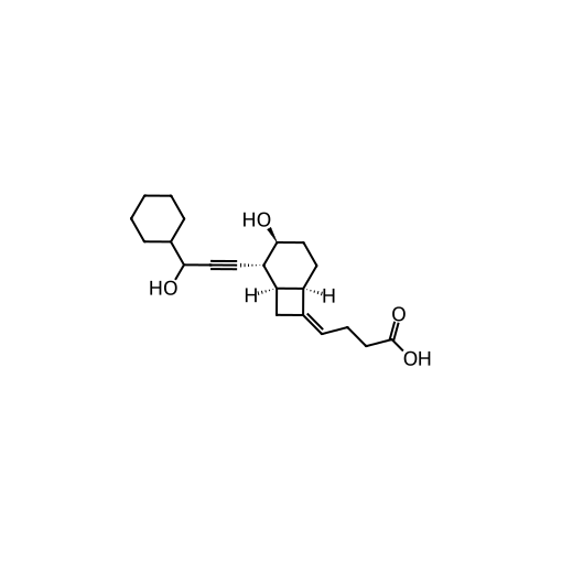 O=C(O)CC/C=C1/C[C@H]2[C@H](C#CC(O)C3CCCCC3)[C@@H](O)CC[C@@H]12